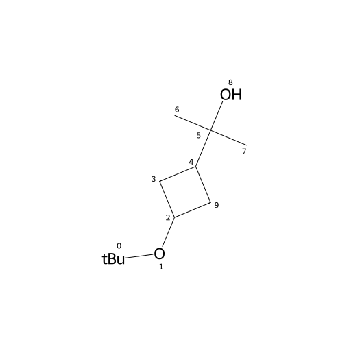 CC(C)(C)OC1CC(C(C)(C)O)C1